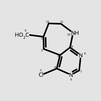 O=C(O)C1=Cc2c(Cl)ncnc2NCC1